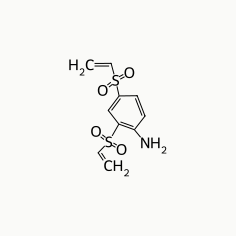 C=CS(=O)(=O)c1ccc(N)c(S(=O)(=O)C=C)c1